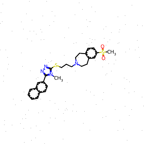 Cn1c(SCCCN2CCc3ccc(S(C)(=O)=O)cc3CC2)nnc1-c1ccc2ccccc2c1